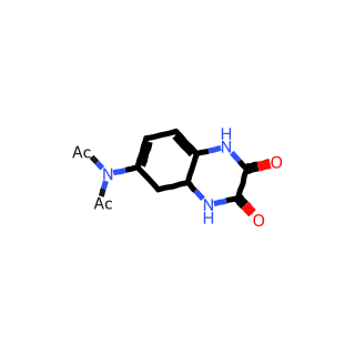 CC(=O)N(C(C)=O)C1=CC=C2NC(=O)C(=O)NC2C1